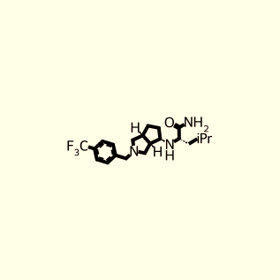 CC(C)C[C@H](N[C@H]1CC[C@@H]2CN(Cc3ccc(C(F)(F)F)cc3)C[C@@H]21)C(N)=O